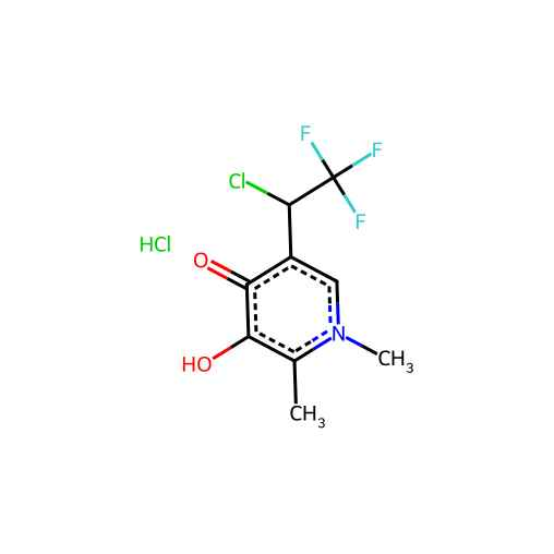 Cc1c(O)c(=O)c(C(Cl)C(F)(F)F)cn1C.Cl